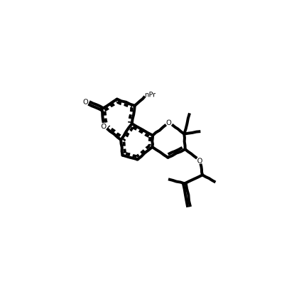 C=C(C)C(C)OC1=Cc2ccc3oc(=O)cc(CCC)c3c2OC1(C)C